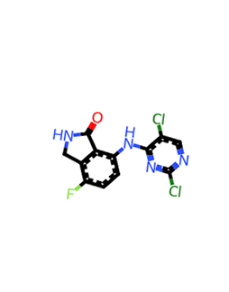 O=C1NCc2c(F)ccc(Nc3nc(Cl)ncc3Cl)c21